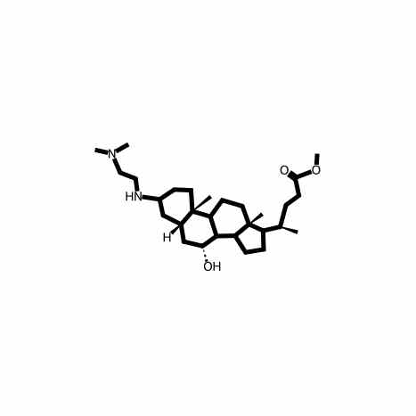 COC(=O)CC[C@@H](C)C1CCC2C3C(CC[C@@]21C)[C@@]1(C)CCC(NCCN(C)C)C[C@H]1C[C@H]3O